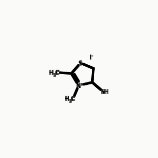 CC1=[N+](C)C(S)CS1.[I-]